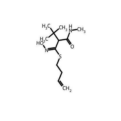 C=CCCSC(=NO)C(C(=O)NC)C(C)(C)C